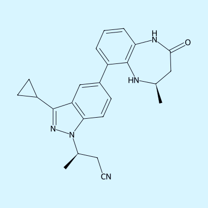 C[C@@H]1CC(=O)Nc2cccc(-c3ccc4c(c3)c(C3CC3)nn4[C@H](C)CC#N)c2N1